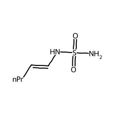 CCCC=CNS(N)(=O)=O